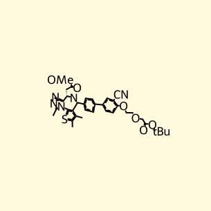 COC(=O)C[C@@H]1N=C(c2ccc(-c3ccc(OCCOCC(=O)OC(C)(C)C)c(C#N)c3)cc2)c2c(sc(C)c2C)-n2c(C)nnc21